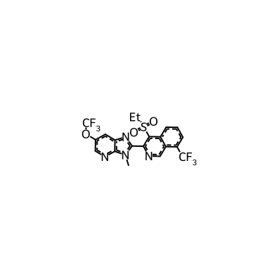 CCS(=O)(=O)c1c(-c2nc3cc(OC(F)(F)F)cnc3n2C)ncc2c(C(F)(F)F)cccc12